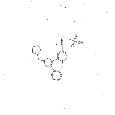 CS(=O)(=O)O.N#Cc1ccc2c(c1)C1=C(CN(CC3CCCC3)C1)c1ccccc1S2